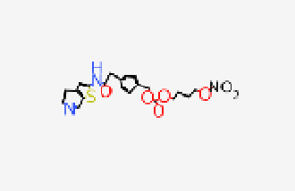 O=C(Cc1ccc(COC(=O)OCCCCO[N+](=O)[O-])cc1)Nc1cc2ccncc2s1